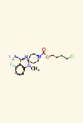 CN1c2cccc(F)c2C(N)=NC12CCN(C(=O)OCCCCCl)CC2